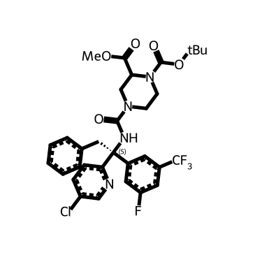 COC(=O)C1CN(C(=O)N[C@@](Cc2ccccc2)(c2cc(F)cc(C(F)(F)F)c2)c2ccc(Cl)cn2)CCN1C(=O)OC(C)(C)C